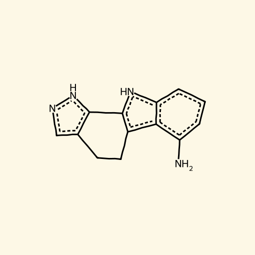 Nc1cccc2[nH]c3c(c12)CCc1cn[nH]c1-3